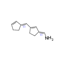 N/C=C1C=C(/C=C2/C=CCC2)CC/1